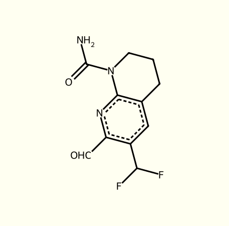 NC(=O)N1CCCc2cc(C(F)F)c(C=O)nc21